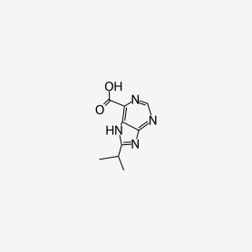 CC(C)c1nc2ncnc(C(=O)O)c2[nH]1